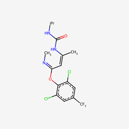 C/N=C(\C=C(\C)NC(=O)NC(C)C)Oc1c(Cl)cc(C(F)(F)F)cc1Cl